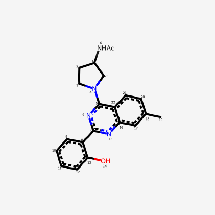 CC(=O)NC1CCN(c2nc(-c3ccccc3O)nc3cc(C)ccc23)C1